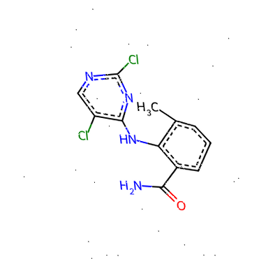 Cc1cccc(C(N)=O)c1Nc1nc(Cl)ncc1Cl